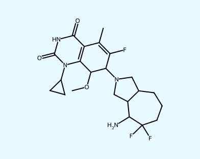 COC1c2c(c(=O)[nH]c(=O)n2C2CC2)C(C)=C(F)C1N1CC2CCCC(F)(F)C(N)C2C1